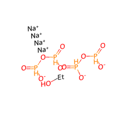 CCO.O=[PH]([O-])O[PH](=O)[O-].O=[PH]([O-])O[PH](=O)[O-].[Na+].[Na+].[Na+].[Na+]